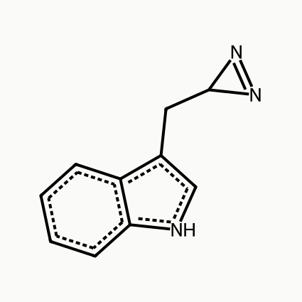 c1ccc2c(CC3N=N3)c[nH]c2c1